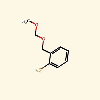 COCOCc1ccccc1S